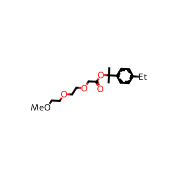 CCc1ccc(C(C)(C)OC(=O)COCCOCCOC)cc1